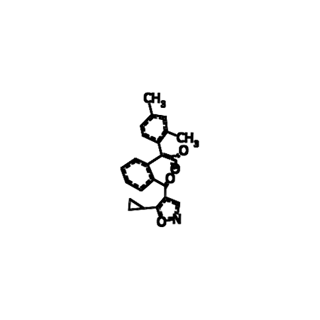 Cc1ccc(C(c2ccccc2C(=O)c2cnoc2C2CC2)=S(=O)=O)c(C)c1